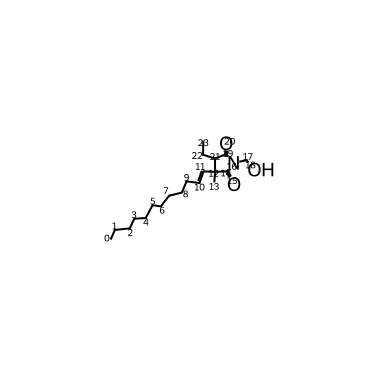 CCCCCCCCCCC=CC1(C)C(=O)N(CO)C(=O)C1CC